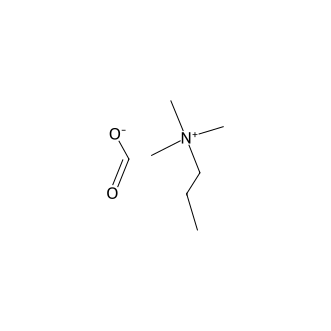 CCC[N+](C)(C)C.O=C[O-]